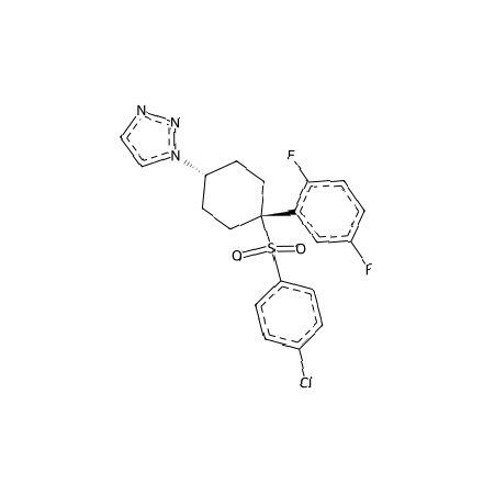 O=S(=O)(c1ccc(Cl)cc1)[C@]1(c2cc(F)ccc2F)CC[C@H](n2ccnn2)CC1